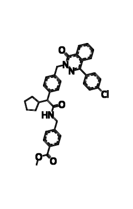 COC(=O)c1ccc(CNC(=O)C(c2ccc(Cn3nc(-c4ccc(Cl)cc4)c4ccccc4c3=O)cc2)C2CCCC2)cc1